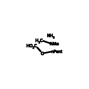 CCCCCOC(=O)O.CNC.N